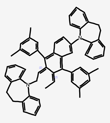 C/C=c1/c(-c2cc(C)cc(C)c2)c2cc(N3c4ccccc4CCc4ccccc43)ccc2c(-c2cc(C)cc(C)c2)/c1=C/CN1c2ccccc2CCc2ccccc21